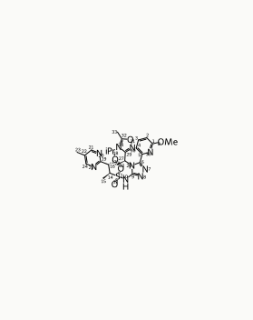 COc1cccc(-c2nnc(NS(=O)(=O)[C@@H](C)[C@@H](OC(C)C)c3ncc(C)cn3)n2[C@@H](C)c2noc(C)n2)n1